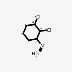 C=NC1CCCC(Cl)C1Cl